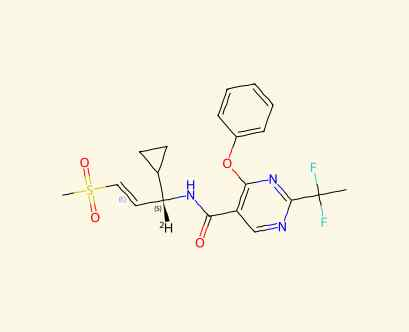 [2H][C@](/C=C/S(C)(=O)=O)(NC(=O)c1cnc(C(C)(F)F)nc1Oc1ccccc1)C1CC1